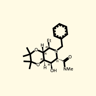 CC[C@@H]1[C@H]2OC(C)(C)C(C)(C)O[C@@H]2[C@H](O)[C@@H](C(=O)NC)N1Cc1ccccc1